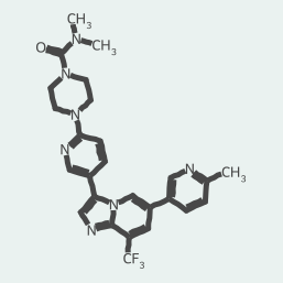 Cc1ccc(-c2cc(C(F)(F)F)c3ncc(-c4ccc(N5CCN(C(=O)N(C)C)CC5)nc4)n3c2)cn1